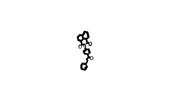 O=C(C=Cc1ccccc1)c1ccc(N2C(=O)c3cccc4cccc(c34)C2=O)cc1